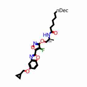 CCCCCCCCCCCCCCCC(=O)N[C@@H](C)COc1noc(-c2nc3cc(OCC4CC4)ccc3o2)c1F